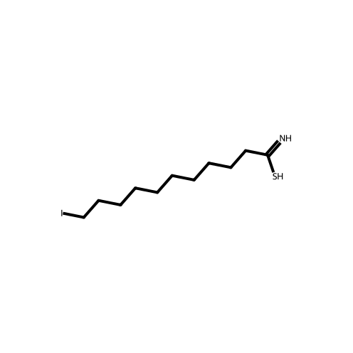 N=C(S)CCCCCCCCCCI